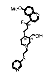 COc1ccc2nccc([C@H](F)CC[C@@H]3CCN(CCSc4cccnc4)C[C@@H]3CO)c2c1